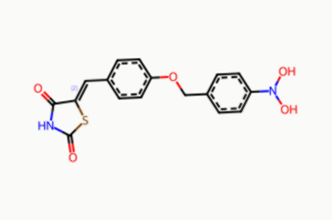 O=C1NC(=O)/C(=C/c2ccc(OCc3ccc(N(O)O)cc3)cc2)S1